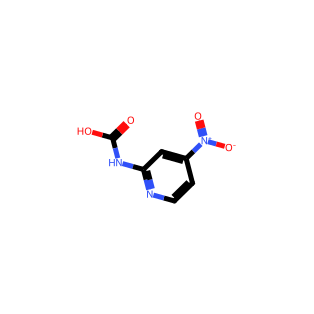 O=C(O)Nc1cc([N+](=O)[O-])ccn1